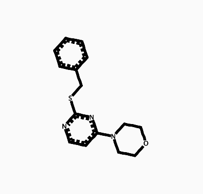 c1ccc(CSc2nccc(N3CCOCC3)n2)cc1